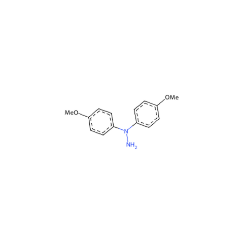 COc1ccc(N(N)c2ccc(OC)cc2)cc1